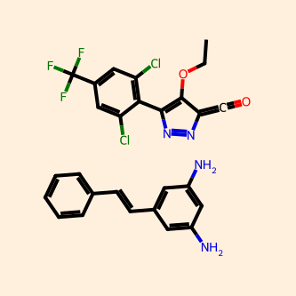 CCOC1=C(c2c(Cl)cc(C(F)(F)F)cc2Cl)N=NC1=C=O.Nc1cc(N)cc(C=Cc2ccccc2)c1